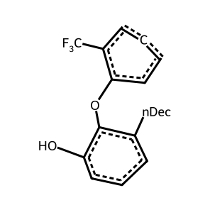 CCCCCCCCCCc1cccc(O)c1Oc1ccccc1C(F)(F)F